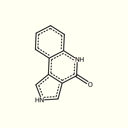 O=c1[nH]c2ccccc2c2c[nH]cc12